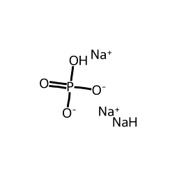 O=P([O-])([O-])O.[Na+].[Na+].[NaH]